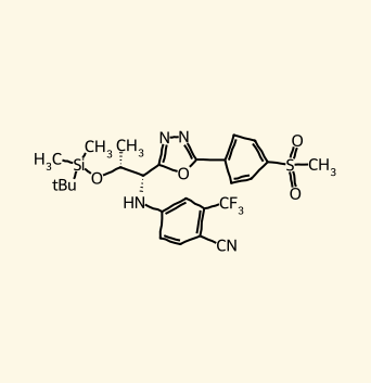 C[C@@H](O[Si](C)(C)C(C)(C)C)[C@@H](Nc1ccc(C#N)c(C(F)(F)F)c1)c1nnc(-c2ccc(S(C)(=O)=O)cc2)o1